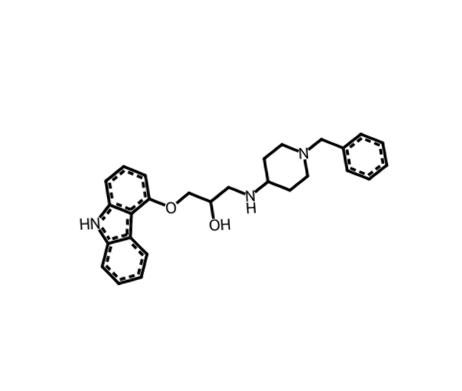 OC(CNC1CCN(Cc2ccccc2)CC1)COc1cccc2[nH]c3ccccc3c12